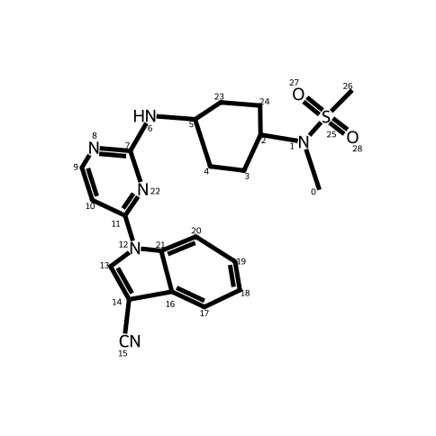 CN(C1CCC(Nc2nccc(-n3cc(C#N)c4ccccc43)n2)CC1)S(C)(=O)=O